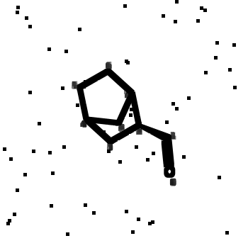 O=C[C@H]1CC2CCC1C2